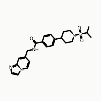 CC(C)S(=O)(=O)N1CCC(c2ccc(C(=O)NCc3ccn4ccnc4c3)cc2)CC1